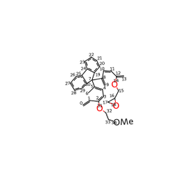 C=C/C(=C\C=C(/C)C1(C(=C)/C=C\C(=C)OCC2CO2)c2ccccc2-c2ccccc21)OCCOC